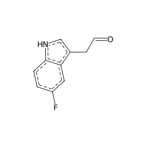 O=CCc1c[nH]c2ccc(F)cc12